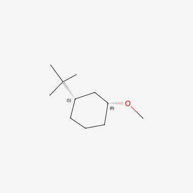 CO[C@@H]1CCC[C@H](C(C)(C)C)C1